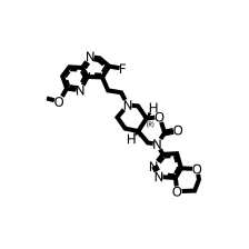 COc1ccc2ncc(F)c(CCN3CC[C@@H]4CN(c5cc6c(nn5)OCCO6)C(=O)O[C@H]4C3)c2n1